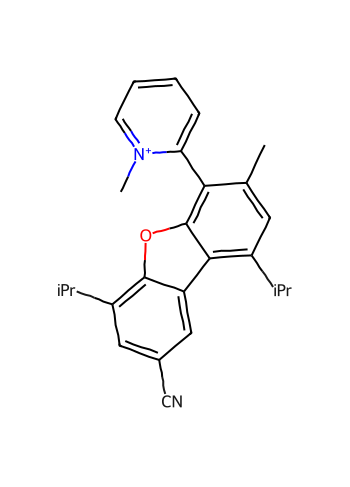 Cc1cc(C(C)C)c2c(oc3c(C(C)C)cc(C#N)cc32)c1-c1cccc[n+]1C